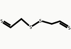 S=CCSSCC=S